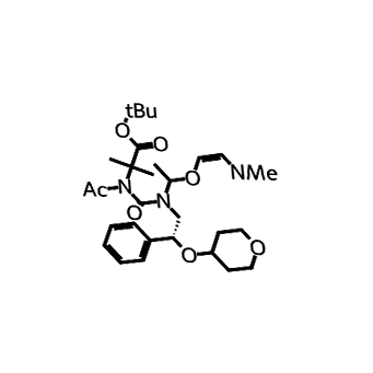 CN/C=C\OC(C)N(C[C@H](OC1CCOCC1)c1ccccc1)C(=O)N(C(C)=O)C(C)(C)C(=O)OC(C)(C)C